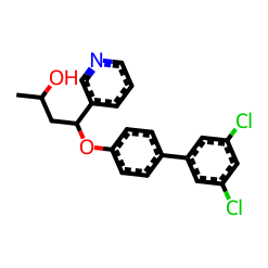 CC(O)CC(Oc1ccc(-c2cc(Cl)cc(Cl)c2)cc1)c1cccnc1